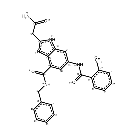 NC(=O)Cc1nc2c(C(=O)NCc3ccccc3)cc(NC(=O)c3ccccc3C(F)(F)F)cc2[nH]1